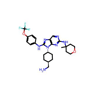 CC1(Nc2ncc3nc(Nc4ccc(OC(F)(F)F)cc4)n([C@H]4CC[C@H](CN)CC4)c3n2)CCOCC1